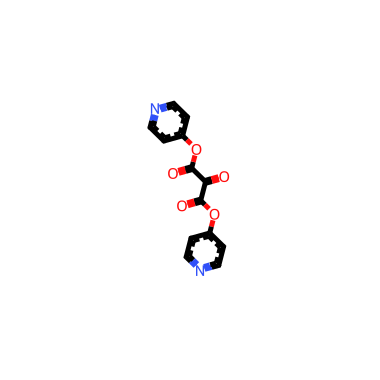 O=C(Oc1ccncc1)C(=O)C(=O)Oc1ccncc1